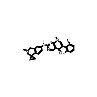 CN1Cc2cc(Nc3ncc4c(=O)c(-c5c(F)cccc5Cl)cn(C)c4n3)ccc2C2(CC2)C1